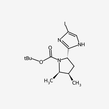 C[C@@H]1C[C@@H](c2nc(I)c[nH]2)N(C(=O)OC(C)(C)C)[C@@H]1C